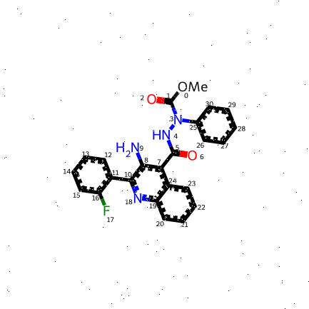 COC(=O)N(NC(=O)c1c(N)c(-c2ccccc2F)nc2ccccc12)c1ccccc1